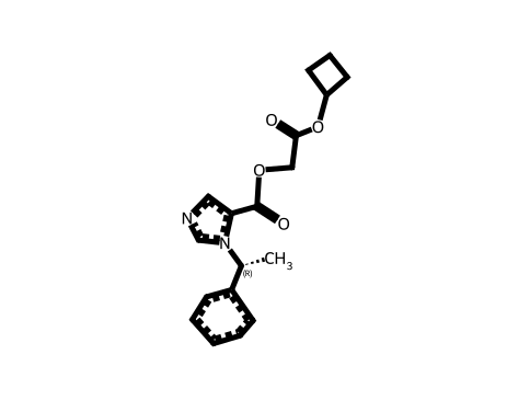 C[C@H](c1ccccc1)n1cncc1C(=O)OCC(=O)OC1CCC1